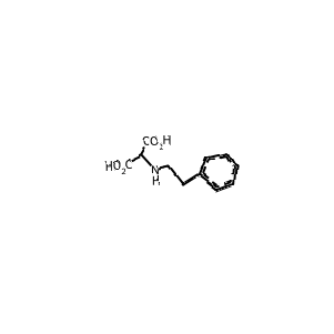 O=C(O)C(NCCc1ccccc1)C(=O)O